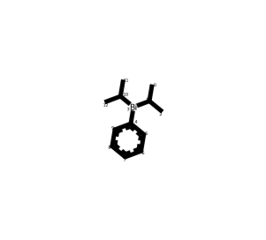 C[CH](C)[Bi]([c]1ccccc1)[CH](C)C